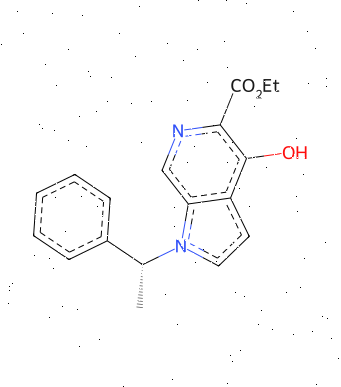 CCOC(=O)c1ncc2c(ccn2[C@H](C)c2ccccc2)c1O